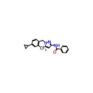 O=C(Nc1ccn(Cc2ccc(C3CC3)cc2C(F)(F)F)n1)c1ccccc1